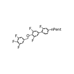 CCCCCc1ccc(-c2cc(F)c(OCc3cc(F)c(F)c(F)c3)c(F)c2)c(F)c1